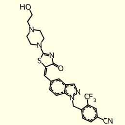 N#Cc1ccc(Cn2ncc3cc(C=C4SC(N5CCN(CCO)CC5)=NC4=O)ccc32)c(C(F)(F)F)c1